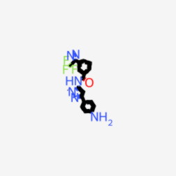 Cn1nc(-c2ccc(N)cc2)cc1NC(=O)c1cccc(C2(C(F)(F)F)N=N2)c1